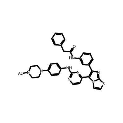 CC(=O)N1CCN(c2ccc(Nc3nccc(-c4c(-c5cccc(NC(=O)Cc6ccccc6)c5)nc5sccn45)n3)cc2)CC1